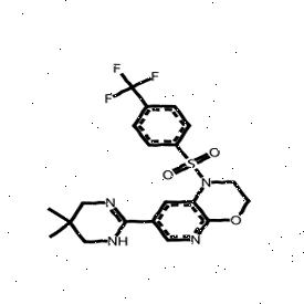 CC1(C)CN=C(c2cnc3c(c2)N(S(=O)(=O)c2ccc(C(F)(F)F)cc2)CCO3)NC1